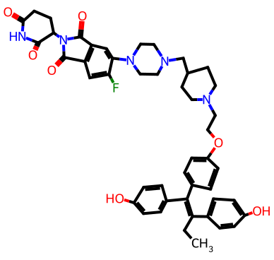 CCC(=C(c1ccc(O)cc1)c1ccc(OCCN2CCC(CN3CCN(c4cc5c(cc4F)C(=O)N(C4CCC(=O)NC4=O)C5=O)CC3)CC2)cc1)c1ccc(O)cc1